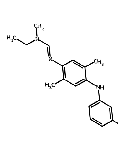 CCN(C)C=Nc1cc(C)c(Nc2cccc(Cl)c2)cc1C